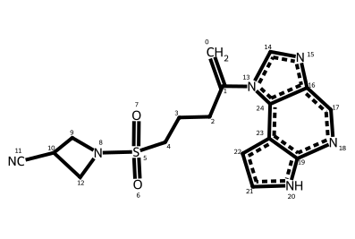 C=C(CCCS(=O)(=O)N1CC(C#N)C1)n1cnc2cnc3[nH]ccc3c21